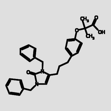 CC(C)(Oc1ccc(CCCc2cn(Cc3ccccc3)c(=O)n2Cc2ccccc2)cc1)C(=O)O